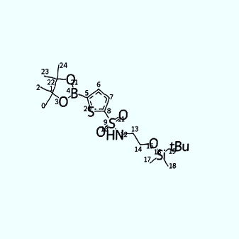 CC1(C)OB(c2ccc(S(=O)(=O)NCCO[Si](C)(C)C(C)(C)C)s2)OC1(C)C